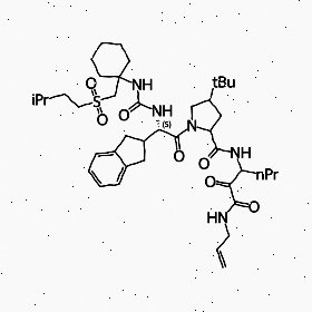 C=CCNC(=O)C(=O)C(CCC)NC(=O)C1CC(C(C)(C)C)CN1C(=O)[C@@H](NC(=O)NC1(CS(=O)(=O)CCC(C)C)CCCCC1)C1Cc2ccccc2C1